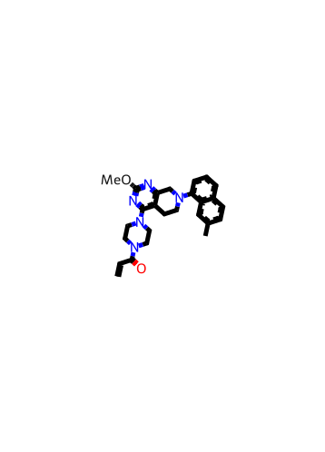 C=CC(=O)N1CCN(c2nc(OC)nc3c2CCN(c2cccc4ccc(C)cc24)C3)CC1